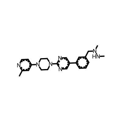 CNN(C)Cc1cccc(-c2cnc(N3CCN(c4ccnc(C)c4)CC3)nc2)c1